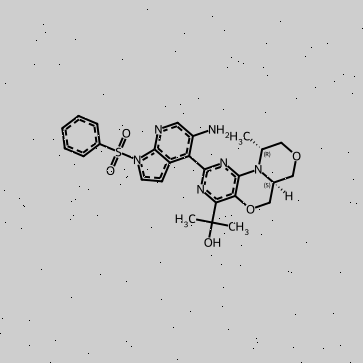 C[C@@H]1COC[C@H]2COc3c(nc(-c4c(N)cnc5c4ccn5S(=O)(=O)c4ccccc4)nc3C(C)(C)O)N21